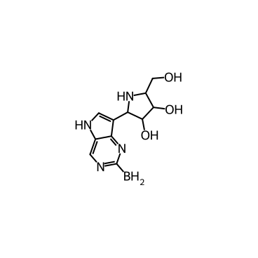 Bc1ncc2[nH]cc(C3NC(CO)C(O)C3O)c2n1